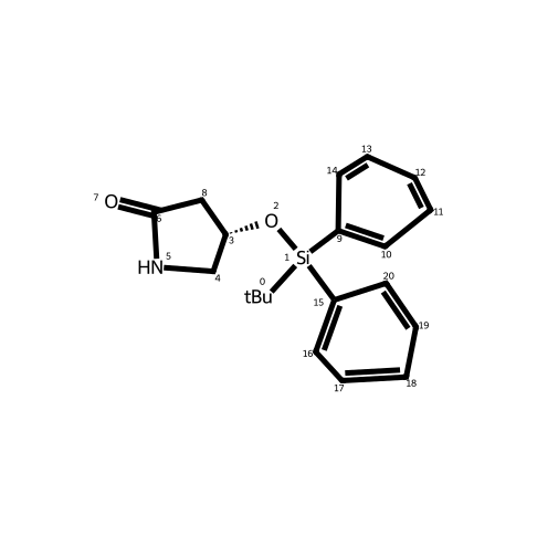 CC(C)(C)[Si](O[C@@H]1CNC(=O)C1)(c1ccccc1)c1ccccc1